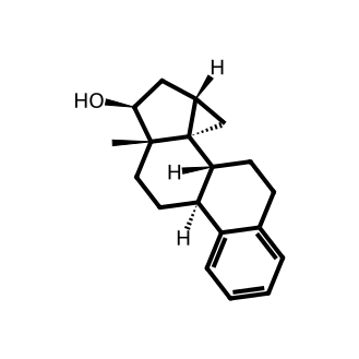 C[C@]12CC[C@@H]3c4ccccc4CC[C@H]3[C@@]13C[C@H]3C[C@@H]2O